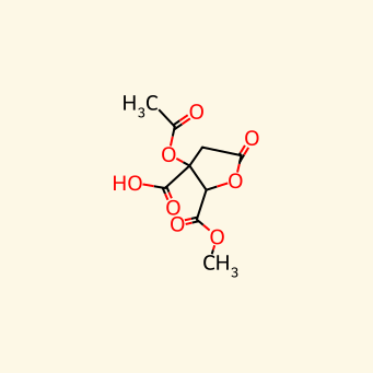 COC(=O)C1OC(=O)CC1(OC(C)=O)C(=O)O